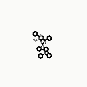 CN1c2nc(-n3c4ccccc4c4c3ccc3c5ccccc5n(-c5ccccc5)c34)nc(-c3ccccc3)c2C=NC1c1ccccc1